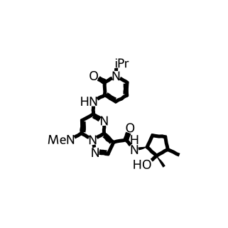 CNc1cc(Nc2cccn(C(C)C)c2=O)nc2c(C(=O)N[C@H]3CCC(C)[C@]3(C)O)cnn12